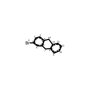 Brc1ccc2c(c1)Cc1ccccc1C2